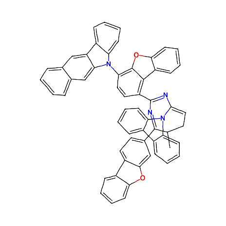 CC1C/C=C(n2c3ccccc3c3ccccc32)/N=C(c2ccc(-n3c4ccccc4c4cc5ccccc5cc43)c3oc4ccccc4c23)\N=C/1c1ccc2c(c1)oc1ccccc12